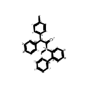 Cc1ccc(C(C(=O)N(C)c2ccccc2-c2ccccc2)c2ccccc2)cc1